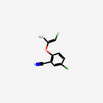 CC(=CCl)Oc1c[c]c(F)cc1C#N